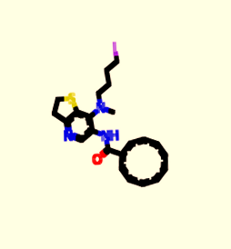 CN(CCCCI)c1c(NC(=O)c2ccccccccc2)cnc2c1SCC2